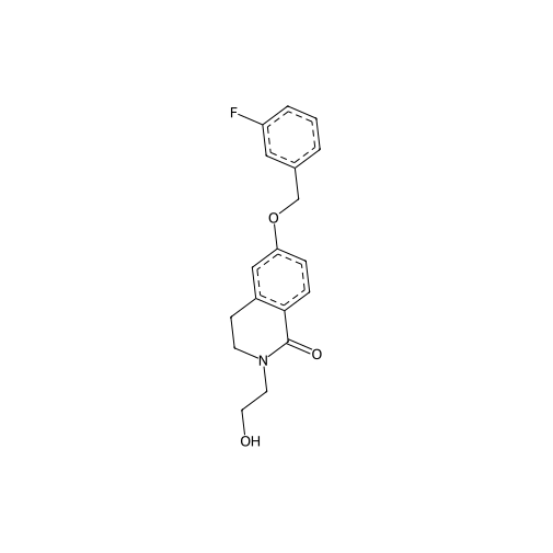 O=C1c2ccc(OCc3cccc(F)c3)cc2CCN1CCO